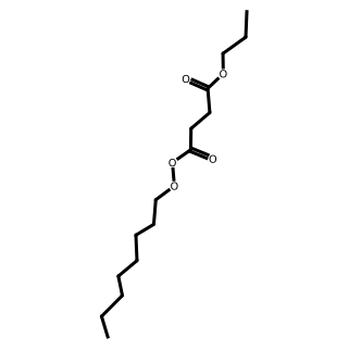 CCCCCCCCOOC(=O)CCC(=O)OCCC